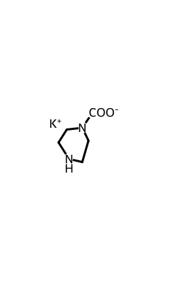 O=C([O-])N1CCNCC1.[K+]